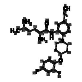 C#Cc1ccc(N2CCC(Oc3ccc(F)cc3F)CC2)c(NC(=O)/C(N)=C/C=C(/C)N)c1